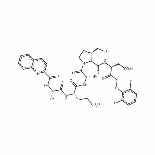 CC(C)[C@H](NC(=O)c1ccc2ccccc2n1)C(=O)N[C@@H](CCC(=O)O)C(=O)N[C@H](C(=O)N1CC[C@@H](CC(C)(C)C)C1C(=O)N[C@@H](CC(=O)O)C(=O)COc1c(F)cccc1F)C(C)C